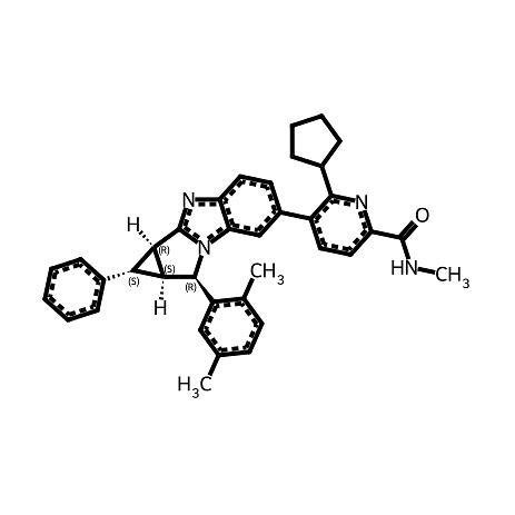 CNC(=O)c1ccc(-c2ccc3nc4n(c3c2)[C@@H](c2cc(C)ccc2C)[C@H]2[C@H](c3ccccc3)[C@@H]42)c(C2CCCC2)n1